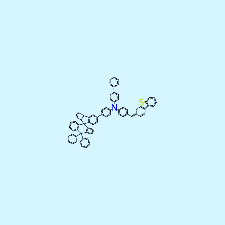 C1=CC2c3cc(-c4ccc(N(c5ccc(/C=C6/C=Cc7c(sc8ccccc78)C6)cc5)c5ccc(-c6ccccc6)cc5)cc4)ccc3C3(c4ccccc4C(c4ccccc4)(c4ccccc4)c4ccccc43)C2C=C1